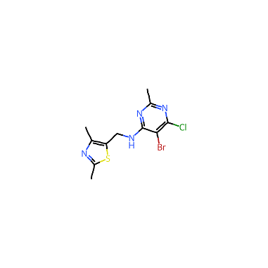 Cc1nc(Cl)c(Br)c(NCc2sc(C)nc2C)n1